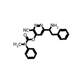 CN(C(=O)Oc1cc(C(N)Cc2ccccc2)nnc1C#N)c1ccccc1